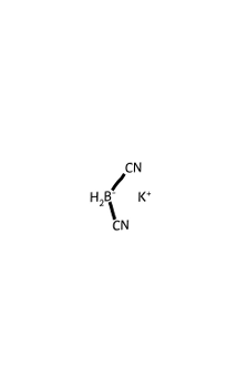 N#C[BH2-]C#N.[K+]